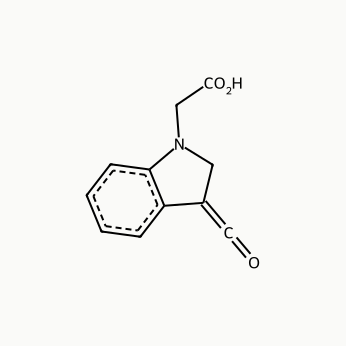 O=C=C1CN(CC(=O)O)c2ccccc21